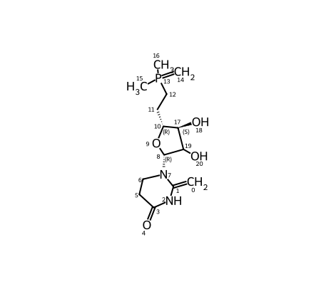 C=C1NC(=O)CCN1[C@@H]1O[C@H](CCP(=C)(C)C)[C@@H](O)C1O